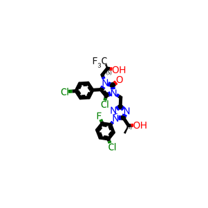 C[C@H](O)c1nc(Cn2c(Cl)c(-c3ccc(Cl)cc3)n(C[C@H](O)C(F)(F)F)c2=O)nn1-c1cc(Cl)ccc1F